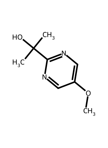 COc1cnc(C(C)(C)O)nc1